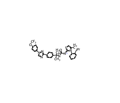 Cc1cs/c(=N\C(=O)NC(C)(C)c2ccc(-c3ncn(-c4ccc(OC(F)(F)F)cc4)n3)cc2)n1-c1ccccc1C(C)C